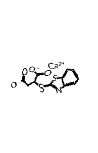 O=C([O-])CC(Sc1nc2ccccc2s1)C(=O)[O-].[Ca+2]